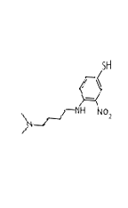 CN(C)CCCCNc1ccc(S)cc1[N+](=O)[O-]